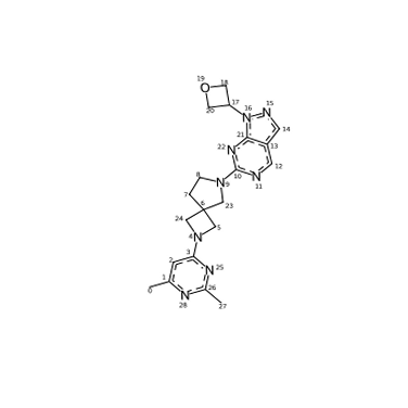 Cc1cc(N2CC3(CCN(c4ncc5cnn(C6COC6)c5n4)C3)C2)nc(C)n1